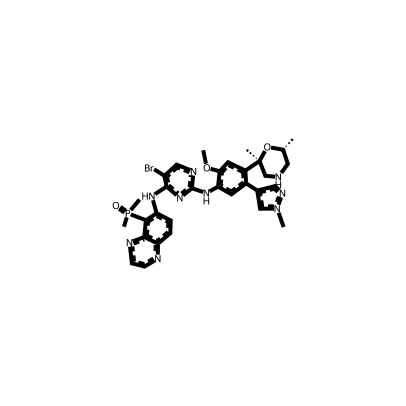 COc1cc([C@]2(C)CNC[C@@H](C)O2)c(-c2cnn(C)c2)cc1Nc1ncc(Br)c(Nc2ccc3nccnc3c2P(C)(C)=O)n1